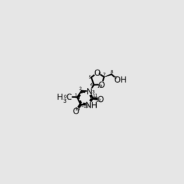 Cc1cn(C2CO[C@@H](CO)O2)c(=O)[nH]c1=O